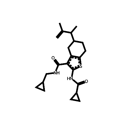 C=C(C)C(C)C1CCc2sc(NC(=O)C3CC3)c(C(=O)NCC3CC3)c2C1